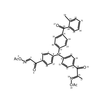 CC(=O)ON=CC(=O)c1ccc(N(c2ccc(C(=O)C(C)=NOC(C)=O)cc2)c2ccc(C(=O)c3ccccc3C)cc2)cc1